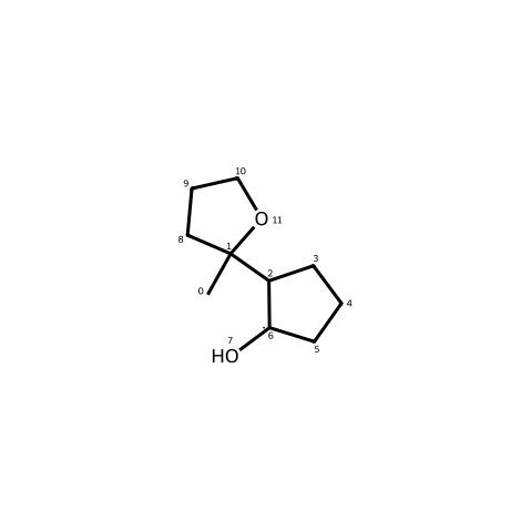 CC1(C2CCC[C]2O)CCCO1